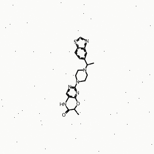 CC1Oc2nc(N3CCN(C(C)c4ccc5scnc5c4)CC3)ncc2NC1=O